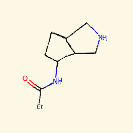 CCC(=O)NC1CCC2CNCC21